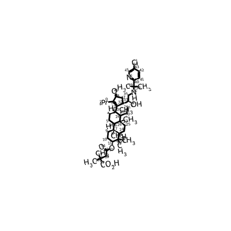 CC(C)C1=C2[C@H]3CC[C@@H]4[C@@]5(C)CC[C@H](OC(=O)CC(C)(C)C(=O)O)C(C)(C)[C@@H]5CC[C@@]4(C)[C@]3(C)CC[C@@]2([C@H](O)CNC(C)(C)c2ccc(Cl)cn2)CC1=O